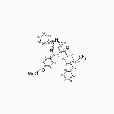 COCOc1ccc(-c2cc(C(=O)N3CCN(Cc4ccccc4)C(CC(F)(F)F)C3)c3c(C)nn(C4CCCCO4)c3n2)cc1